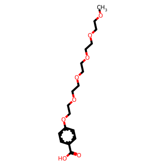 COCCOCCOCCOCCOCCOc1ccc(C(=O)O)cc1